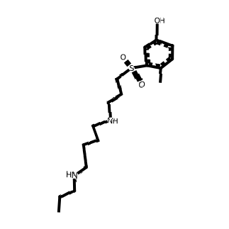 CCCNCCCCNCCCS(=O)(=O)c1cc(O)ccc1C